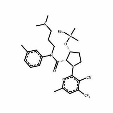 Cc1cccc(N(CCCN(C)C)C(=O)[C@@H]2[C@H](O[Si](C)(C)C(C)(C)C)CCN2c2nc(C)cc(C(F)(F)F)c2C#N)c1